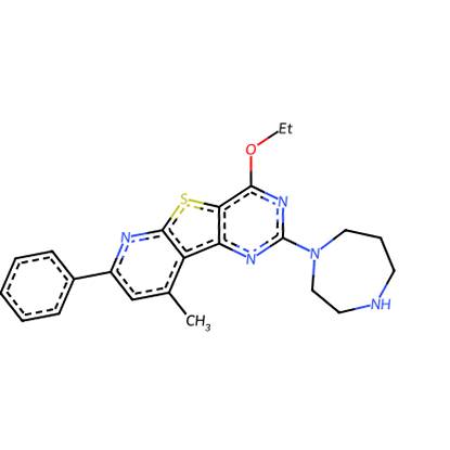 CCOc1nc(N2CCCNCC2)nc2c1sc1nc(-c3ccccc3)cc(C)c12